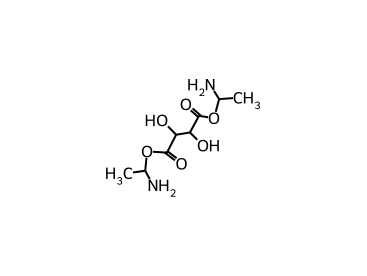 CC(N)OC(=O)C(O)C(O)C(=O)OC(C)N